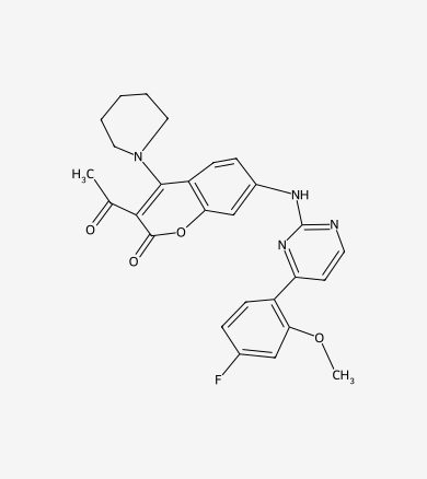 COc1cc(F)ccc1-c1ccnc(Nc2ccc3c(N4CCCCC4)c(C(C)=O)c(=O)oc3c2)n1